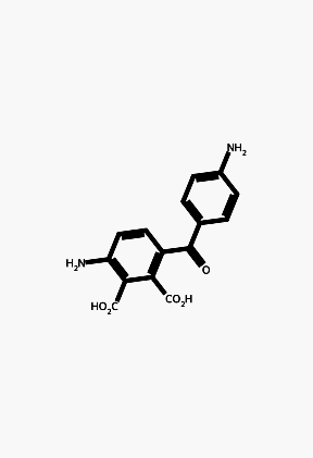 Nc1ccc(C(=O)c2ccc(N)c(C(=O)O)c2C(=O)O)cc1